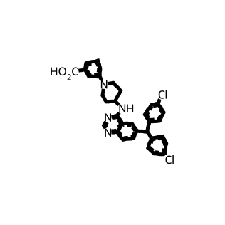 O=C(O)c1cccc(N2CCC(Nc3ncnc4ccc(C(c5ccc(Cl)cc5)c5ccc(Cl)cc5)cc34)CC2)c1